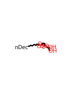 CCCCCCCCCCCCCCCCCC(=O)OC(=O)/C=C\C(=O)OCC(O)CO